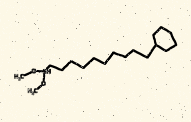 CO[SiH](CCCCCCCCCCC1CCCCC1)OC